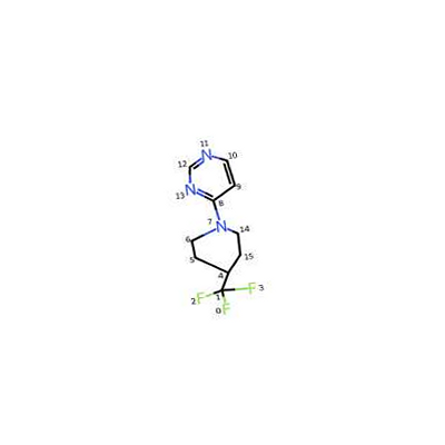 FC(F)(F)C1CCN(c2ccncn2)CC1